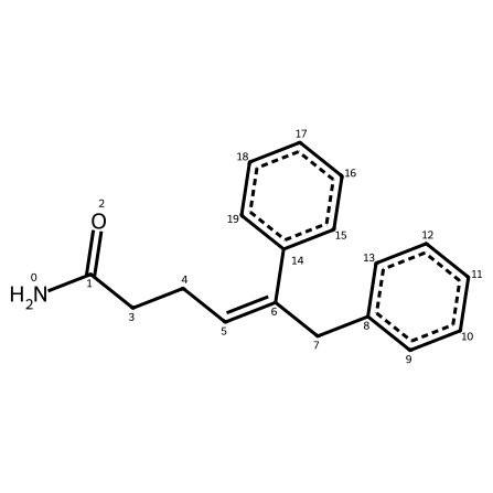 NC(=O)CCC=C(Cc1ccccc1)c1ccccc1